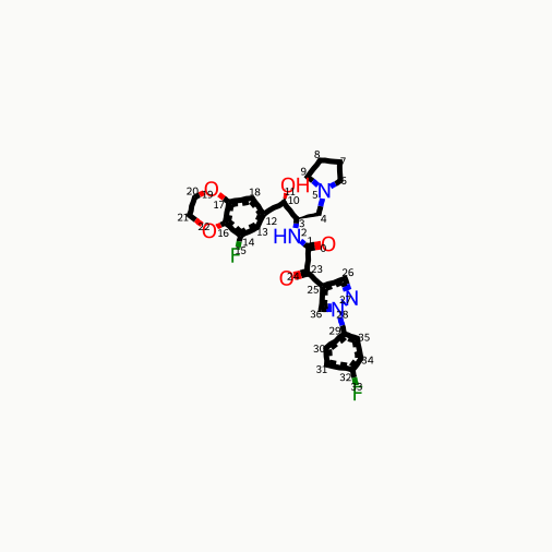 O=C(N[C@H](CN1CCCC1)[C@H](O)c1cc(F)c2c(c1)OCCO2)C(=O)c1cnn(-c2ccc(F)cc2)c1